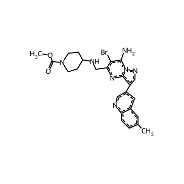 COC(=O)N1CCC(NCc2nc3c(-c4cnc5ccc(C)cc5c4)cnn3c(N)c2Br)CC1